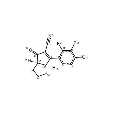 N#CC1=C(c2ccc(O)c(F)c2F)[C@H]2CCC[C@H]2C1=O